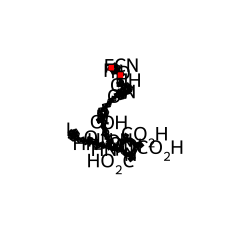 N#C[C@H]1CC(F)(F)CN1C(=O)CNC(=O)c1ccnc2ccc(OCCCCC3CCN(C(=O)[C@H](O)CSCCNC(=O)[C@H](CCCCNC(=O)CCCc4ccc(I)cc4)NC(=O)CN4CCN(CC(=O)O)CCN(CC(=O)O)CCN(CC(=O)O)CC4)CC3)cc12